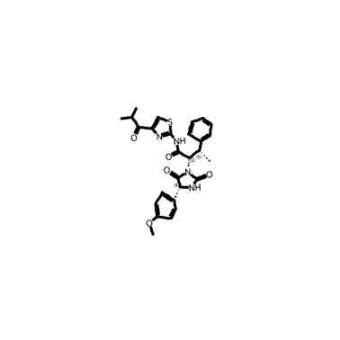 COc1ccc([C@H]2NC(=O)N([C@H](C(=O)Nc3nc(C(=O)C(C)C)cs3)[C@@H](C)c3ccccc3)C2=O)cc1